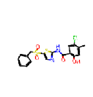 Cc1cc(O)c(C(=O)Nc2ncc(S(=O)(=O)Cc3ccccc3)s2)cc1Cl